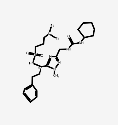 CCN(CC)CCCS(=O)(=O)N[C@H](CCc1ccccc1)c1nc(CNC(=O)NC2CCCCC2)nn1C